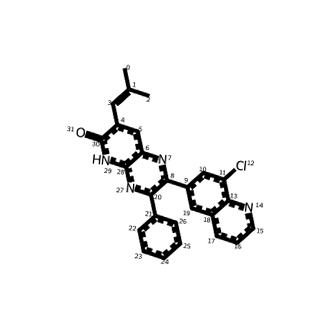 CC(C)=Cc1cc2nc(-c3cc(Cl)c4ncccc4c3)c(-c3ccccc3)nc2[nH]c1=O